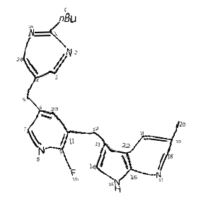 CCCCc1ncc(Cc2[c]nc(F)c(Cc3c[nH]c4ncc(C)cc34)c2)cn1